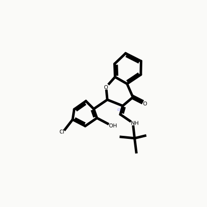 CC(C)(C)N/C=C1\C(=O)c2ccccc2OC1c1ccc(Cl)cc1O